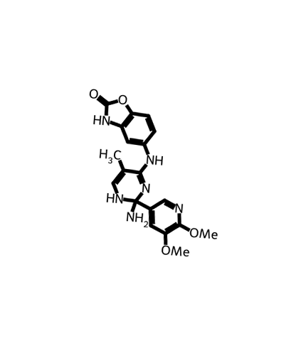 COc1cc(C2(N)N=C(Nc3ccc4oc(=O)[nH]c4c3)C(C)=CN2)cnc1OC